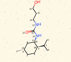 CC(C)[C@H]1CC[C@H](C)C[C@H]1NC(=O)NCCCO